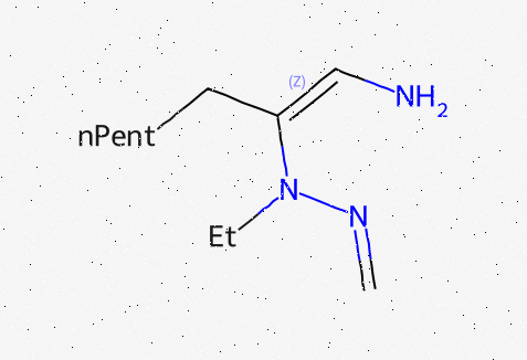 C=NN(CC)/C(=C\N)CCCCCC